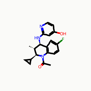 CC(=O)N1c2ccc(F)cc2[C@H](Nc2cc(O)ccn2)[C@@H](C)[C@@H]1C1CC1